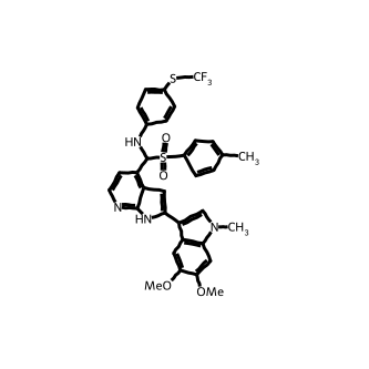 COc1cc2c(-c3cc4c(C(Nc5ccc(SC(F)(F)F)cc5)S(=O)(=O)c5ccc(C)cc5)ccnc4[nH]3)cn(C)c2cc1OC